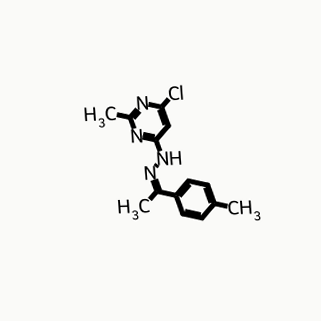 CC(=NNc1cc(Cl)nc(C)n1)c1ccc(C)cc1